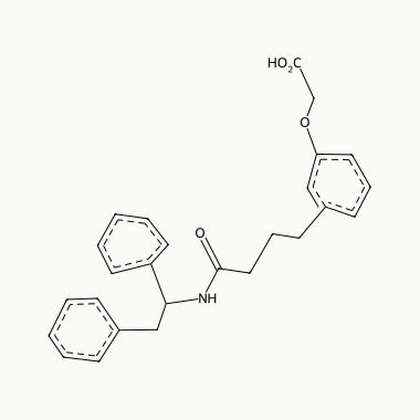 O=C(O)COc1cccc(CCCC(=O)NC(Cc2ccccc2)c2ccccc2)c1